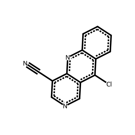 N#Cc1cncc2c(Cl)c3ccccc3nc12